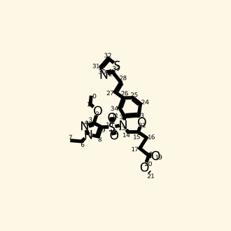 CCOc1nn(CC)cc1S(=O)(=O)N1CC(CCC(=O)OC)Oc2ccc(C=Cc3nccs3)cc21